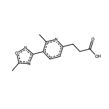 Cc1nc(-c2ccc(CCC(=O)O)nc2C)no1